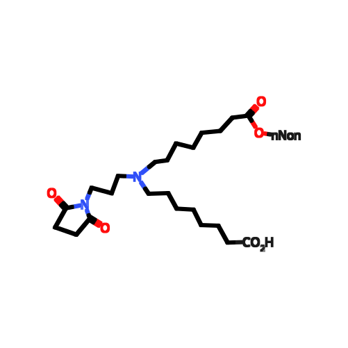 CCCCCCCCCOC(=O)CCCCCCCN(CCCCCCCC(=O)O)CCCN1C(=O)CCC1=O